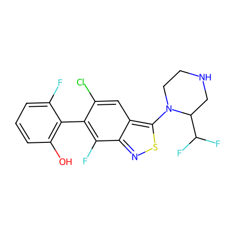 Oc1cccc(F)c1-c1c(Cl)cc2c(N3CCNCC3C(F)F)snc2c1F